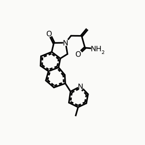 C=C(CN1Cc2c(ccc3ccc(-c4cc(C)ccn4)cc23)C1=O)C(N)=O